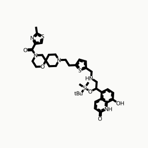 Cc1nc(C(=O)N2CCOC3(CCN(CCc4ccc(CNCC(O[Si](C)(C)C(C)(C)C)c5ccc(O)c6[nH]c(=O)ccc56)s4)CC3)C2)cs1